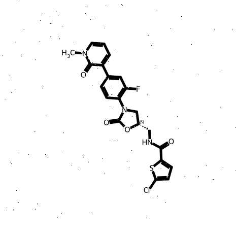 Cn1cccc(-c2ccc(N3C[C@H](CNC(=O)c4ccc(Cl)s4)OC3=O)c(F)c2)c1=O